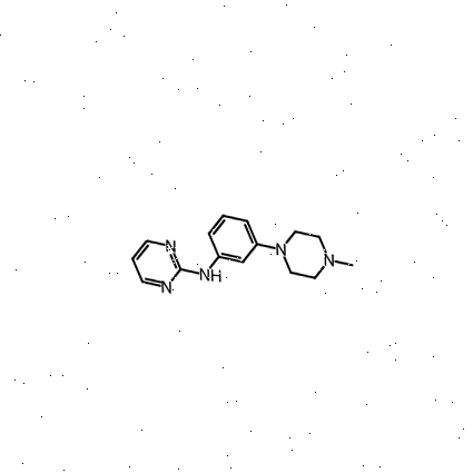 CN1CCN(c2cccc(Nc3ncccn3)c2)CC1